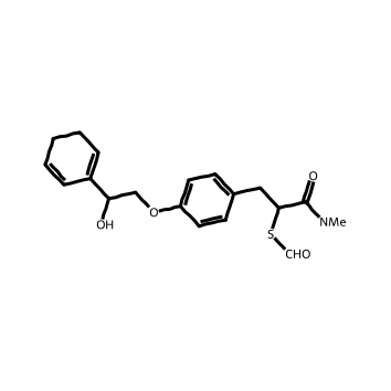 CNC(=O)C(Cc1ccc(OCC(O)C2=CCCC=C2)cc1)SC=O